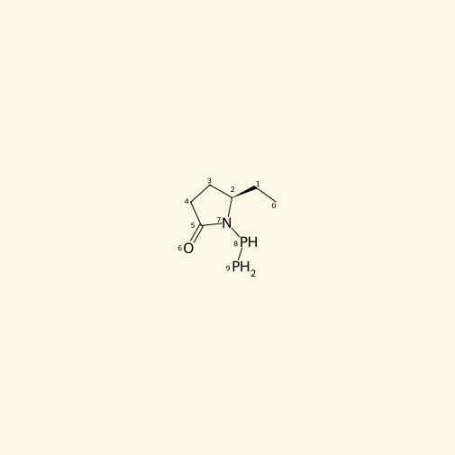 CC[C@@H]1CCC(=O)N1PP